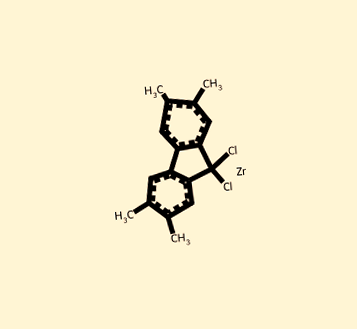 Cc1cc2c(cc1C)C(Cl)(Cl)c1cc(C)c(C)cc1-2.[Zr]